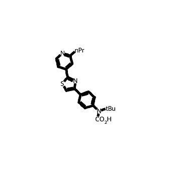 CCCc1cc(-c2nc(-c3ccc(N(C(=O)O)C(C)(C)C)cc3)cs2)ccn1